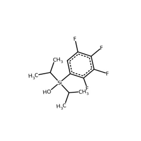 CC(C)[Si](O)(c1cc(F)c(F)c(F)c1F)C(C)C